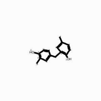 Cc1ccc(O)c(Cc2ccc(O)c(C)c2)c1